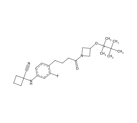 CC(C)(C)[Si](C)(C)OC1CN(C(=O)CCCc2ccc(NC3(C#N)CCC3)cc2F)C1